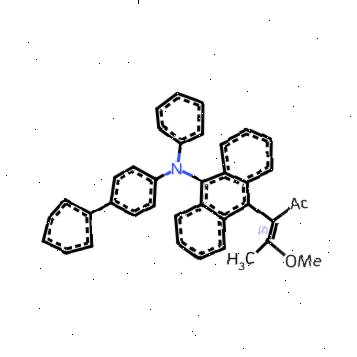 CO/C(C)=C(\C(C)=O)c1c2ccccc2c(N(c2ccccc2)c2ccc(-c3ccccc3)cc2)c2ccccc12